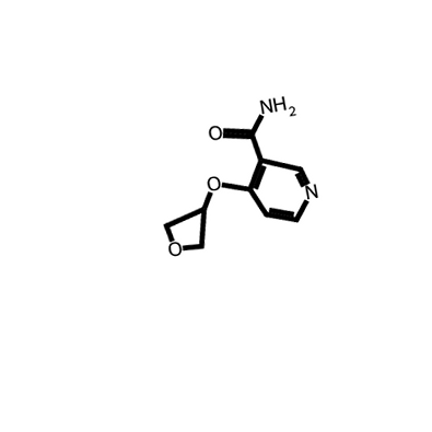 NC(=O)c1cnccc1OC1COC1